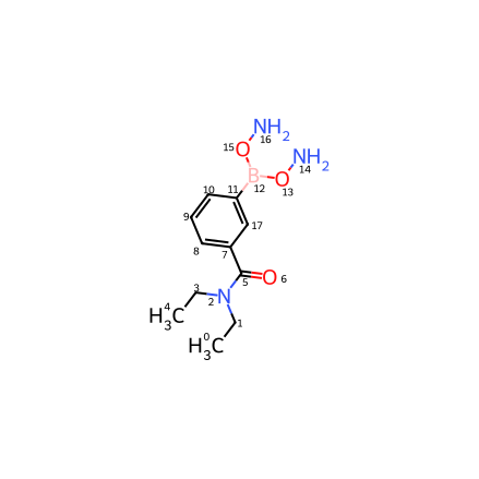 CCN(CC)C(=O)c1cccc(B(ON)ON)c1